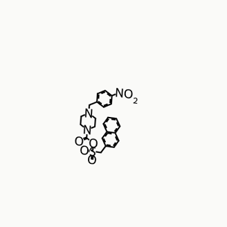 O=C(OS(=O)(=O)Cc1ccc2ccccc2c1)N1CCN(Cc2ccc([N+](=O)[O-])cc2)CC1